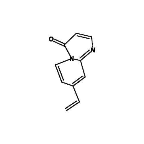 C=Cc1ccn2c(=O)ccnc2c1